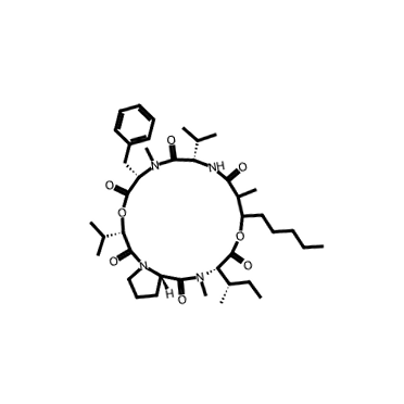 CCCCCC1OC(=O)[C@H]([C@@H](C)CC)N(C)C(=O)[C@@H]2CCCN2C(=O)[C@H](C(C)C)OC(=O)[C@H](Cc2ccccc2)N(C)C(=O)[C@H](C(C)C)NC(=O)C1C